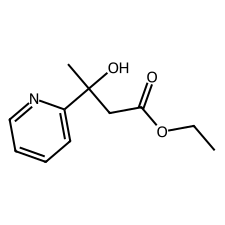 CCOC(=O)CC(C)(O)c1ccccn1